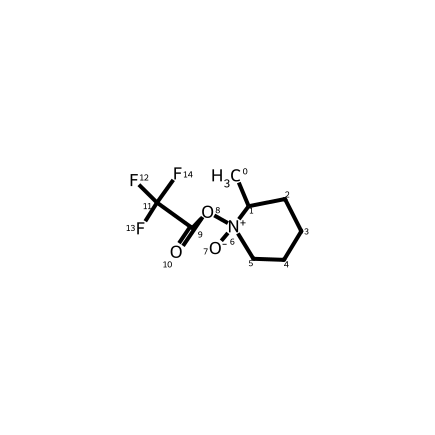 CC1CCCC[N+]1([O-])OC(=O)C(F)(F)F